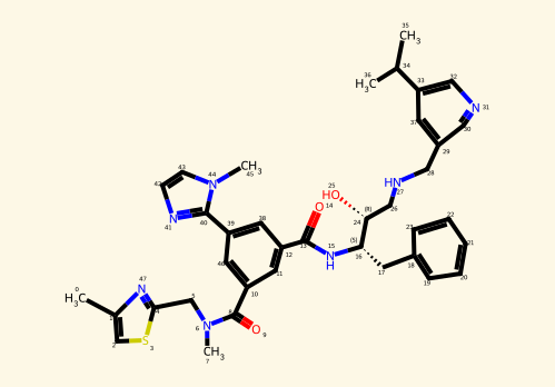 Cc1csc(CN(C)C(=O)c2cc(C(=O)N[C@@H](Cc3ccccc3)[C@H](O)CNCc3cncc(C(C)C)c3)cc(-c3nccn3C)c2)n1